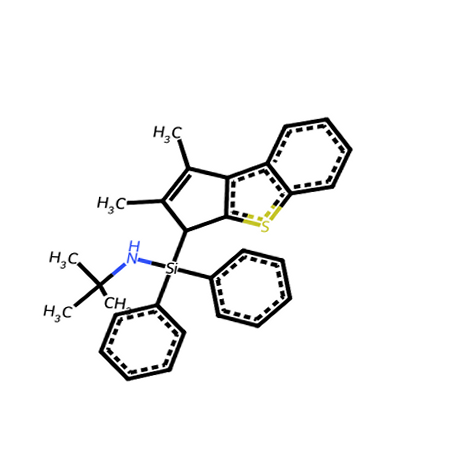 CC1=C(C)C([Si](NC(C)(C)C)(c2ccccc2)c2ccccc2)c2sc3ccccc3c21